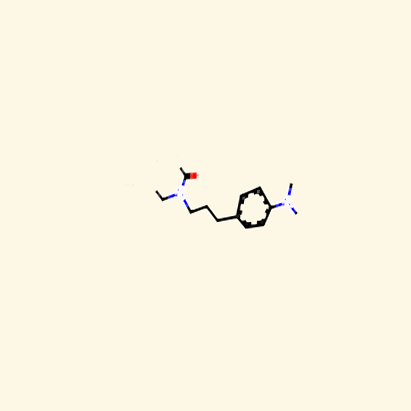 CN(C)c1ccc(CCCN(CC(=O)O)C(=O)C(=O)O)cc1